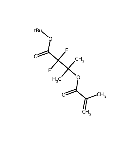 C=C(C)C(=O)OC(C)(C)C(F)(F)C(=O)OC(C)(C)C